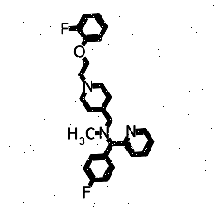 CN(CC1CCN(CCOc2ccccc2F)CC1)C(c1ccc(F)cc1)c1ccccn1